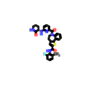 Cc1cccc(F)c1NC(=O)c1cc2c(s1)-c1ccccc1N(C(=O)c1cccc(N[C@H]3CCCNC3=O)n1)CC2